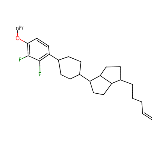 C=CCCCC1CCC2C(C3CCC(c4ccc(OCCC)c(F)c4F)CC3)CCC12